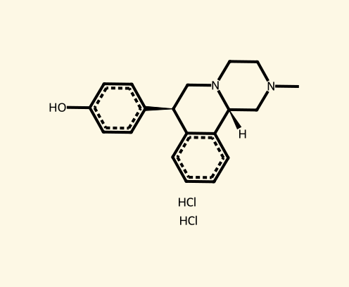 CN1CCN2C[C@H](c3ccc(O)cc3)c3ccccc3[C@H]2C1.Cl.Cl